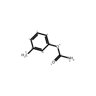 Cc1cccc(OC(N)=O)c1